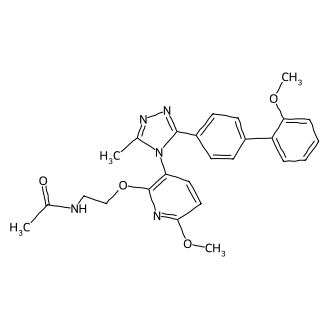 COc1ccc(-n2c(C)nnc2-c2ccc(-c3ccccc3OC)cc2)c(OCCNC(C)=O)n1